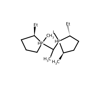 CC[C@@H]1CCC[PH]1(C)C(C)[PH]1(I)[C@H](CC)CC[C@H]1C